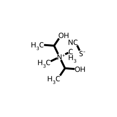 CC(O)[N+](C)(C)C(C)O.N#C[S-]